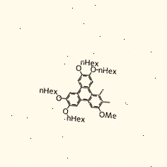 CCCCCCOc1cc2c3cc(OCCCCCC)c(OCCCCCC)cc3c3c(C)c(C)c(OC)cc3c2cc1OCCCCCC